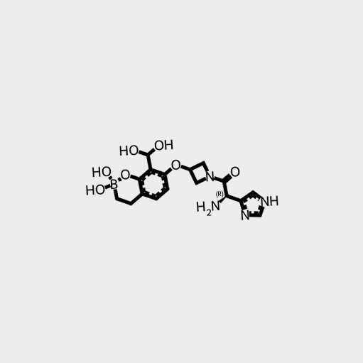 N[C@@H](C(=O)N1CC(Oc2ccc3c(c2C(O)O)O[B-](O)(O)CC3)C1)c1c[nH]cn1